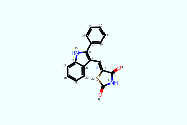 O=C1NC(=O)/C(=C/c2c(-c3ccccc3)[nH]c3ccccc23)S1